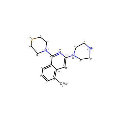 COc1cccc2c(N3CCSCC3)nc(N3CCNCC3)cc12